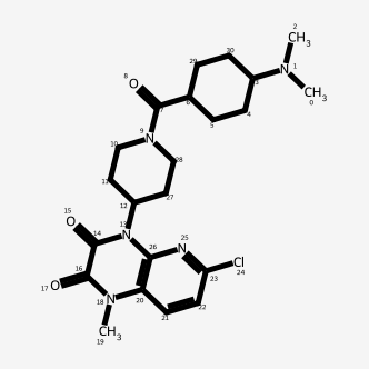 CN(C)C1CCC(C(=O)N2CCC(n3c(=O)c(=O)n(C)c4ccc(Cl)nc43)CC2)CC1